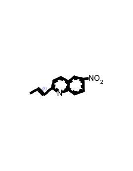 C/C=C/c1ccc2cc([N+](=O)[O-])ccc2n1